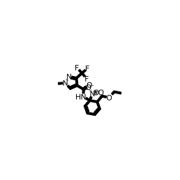 CCOC(=O)C1C=CC=CC1(NC(=O)c1cn(C)nc1C(F)(F)F)[N+](=O)[O-]